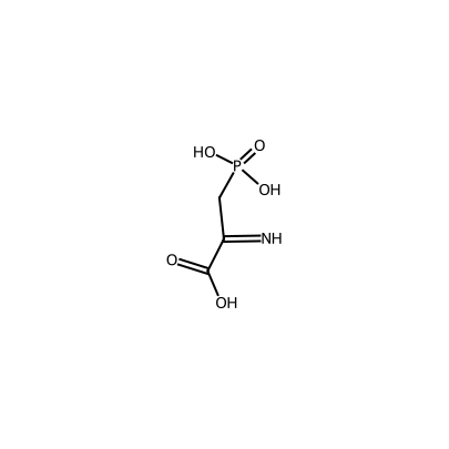 N=C(CP(=O)(O)O)C(=O)O